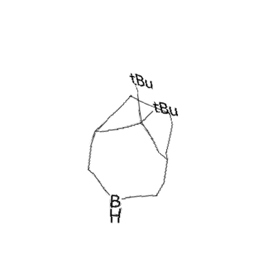 CC(C)(C)C1(C(C)(C)C)C2CBCC1CC2